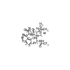 CC(C)C(NC(=O)C(F)(F)F)C(=O)N1C[C@H]2[C@@H]([C@H]1C(=O)NC(C(N)=O)c1nncc3ccccc13)C2(C)C